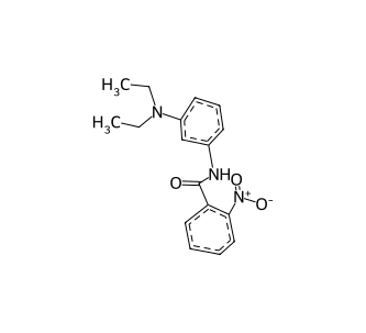 CCN(CC)c1cccc(NC(=O)c2ccccc2[N+](=O)[O-])c1